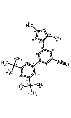 [C-]#[N+]c1cc(-c2nc(C(C)(C)C)nc(C(C)(C)C)n2)cc(-n2nc(C)cc2C)c1